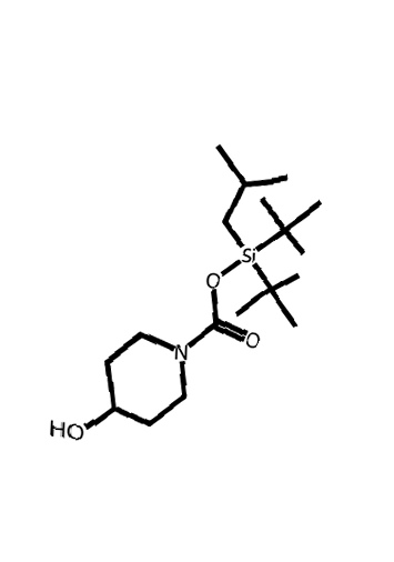 CC(C)C[Si](OC(=O)N1CCC(O)CC1)(C(C)(C)C)C(C)(C)C